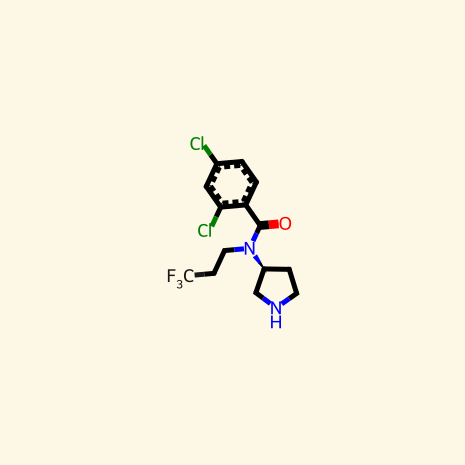 O=C(c1ccc(Cl)cc1Cl)N(CCC(F)(F)F)[C@H]1CCNC1